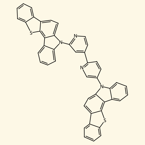 c1ccc2c(c1)sc1c2ccc2c1c1ccccc1n2-c1ccc(-c2ccnc(-n3c4ccccc4c4c5sc6ccccc6c5ccc43)c2)nc1